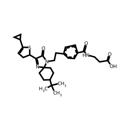 CC(C)(C)C1CCC2(CC1)N=C(C1CC=C(C3CC3)S1)C(=O)N2CCc1ccc(C(=O)NCCC(=O)O)cc1